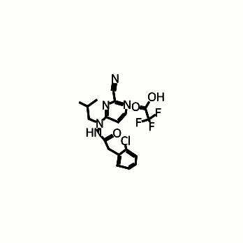 CC(C)CN(NC(=O)Cc1ccccc1Cl)c1ccnc(C#N)n1.O=C(O)C(F)(F)F